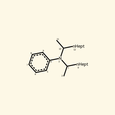 CCCCCCCC(C)N(c1ccccc1)C(C)CCCCCCC